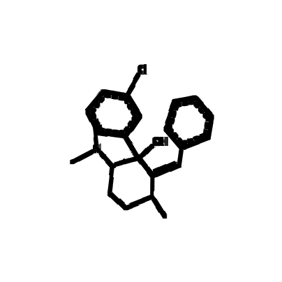 CC1CCC(N(C)C)C(O)(c2cccc(Cl)c2)C1=Cc1ccccc1